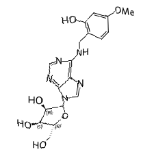 COc1ccc(CNc2ncnc3c2ncn3C2O[C@H](CO)[C@@H](O)[C@H]2O)c(O)c1